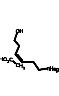 CC(=O)O.CCCCCCCCC/C=C\CCO